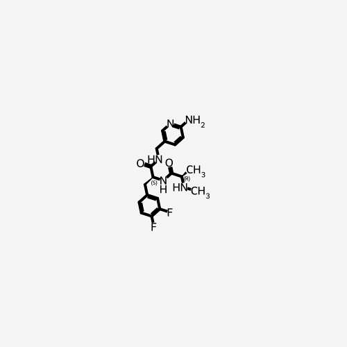 CN[C@H](C)C(=O)N[C@@H](Cc1ccc(F)c(F)c1)C(=O)NCc1ccc(N)nc1